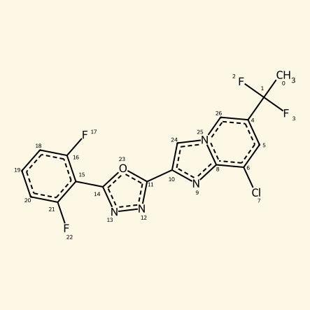 CC(F)(F)c1cc(Cl)c2nc(-c3nnc(-c4c(F)cccc4F)o3)cn2c1